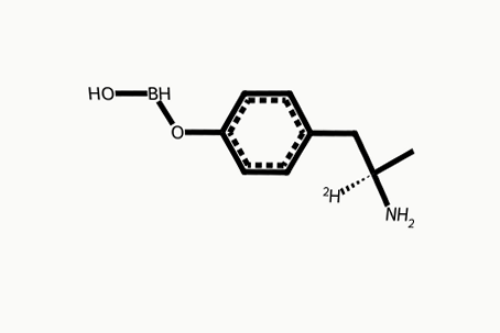 [2H][C@](C)(N)Cc1ccc(OBO)cc1